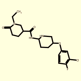 CCN1CC(C(=O)NC2CCC(Oc3ccc(F)c(Cl)c3)CN2)CCC1=O